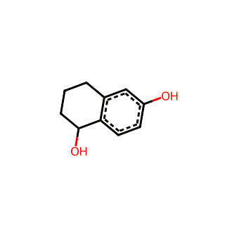 Oc1ccc2c(c1)CCCC2O